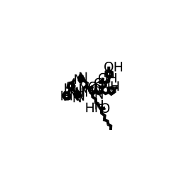 CCCCCCCC(=O)NCCCCC(NC(=O)C(N)Cc1cn(Cc2ccc(-c3ccccc3)c(-c3nnn[nH]3)c2)cn1)C(=O)NC(Cc1ccc(C)cc1)C(=O)NC(Cc1ccc(O)cc1)C(=O)O